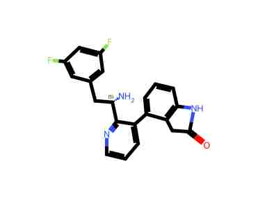 N[C@@H](Cc1cc(F)cc(F)c1)c1ncccc1-c1cccc2c1CC(=O)N2